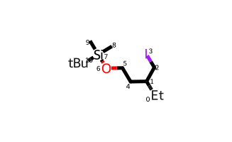 CCC(CI)CCO[Si](C)(C)C(C)(C)C